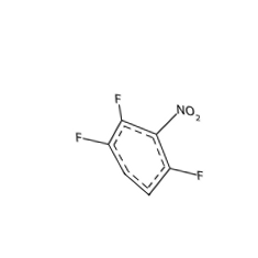 O=[N+]([O-])c1c(F)ccc(F)c1F